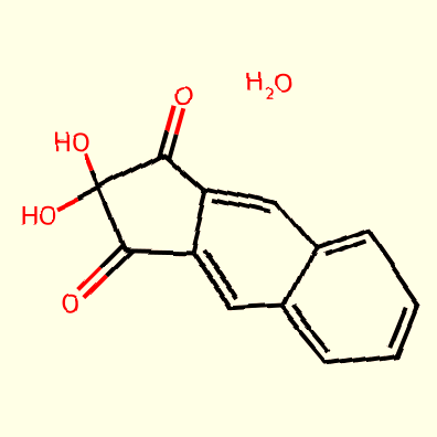 O.O=C1c2cc3ccccc3cc2C(=O)C1(O)O